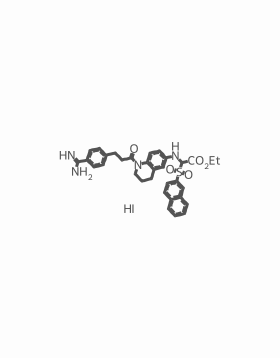 CCOC(=O)C(Nc1ccc2c(c1)CCCN2C(=O)CCc1ccc(C(=N)N)cc1)S(=O)(=O)c1ccc2ccccc2c1.I